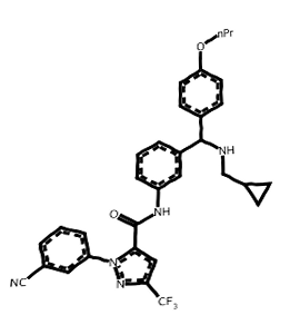 CCCOc1ccc(C(NCC2CC2)c2cccc(NC(=O)c3cc(C(F)(F)F)nn3-c3cccc(C#N)c3)c2)cc1